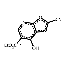 CCOC(=O)c1cnc2oc(C#N)cc2c1O